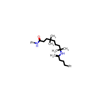 C=C(CCCC(C)C)NC(C)(C)CCCC(C)(C)CCC(=O)NC(C)C